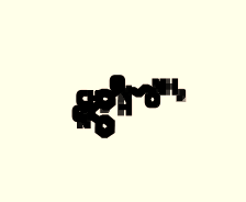 Cc1onc(-c2ccccc2)c1-c1ccc(C(=O)NCCCC(N)=O)cc1